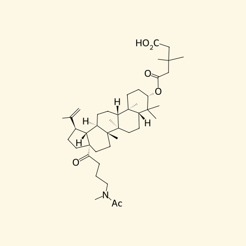 C=C(C)[C@@H]1CC[C@]2(C(=O)CCCN(C)C(C)=O)CC[C@]3(C)[C@H](CC[C@@H]4[C@@]5(C)CC[C@H](OC(=O)CC(C)(C)CC(=O)O)C(C)(C)[C@@H]5CC[C@]43C)[C@@H]12